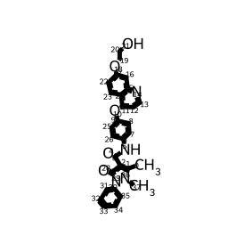 Cc1c(C(=O)Nc2ccc(Oc3ccnc4cc(OCCO)ccc34)cc2)c(=O)n(-c2cc#ccc2)n1C